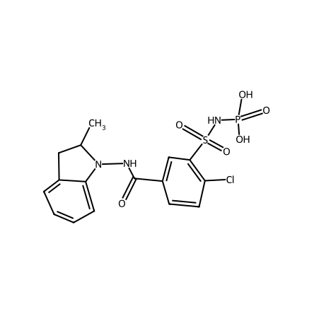 CC1Cc2ccccc2N1NC(=O)c1ccc(Cl)c(S(=O)(=O)NP(=O)(O)O)c1